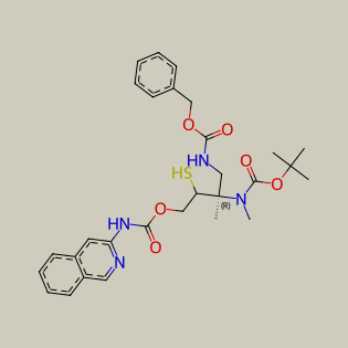 CN(C(=O)OC(C)(C)C)[C@](C)(CNC(=O)OCc1ccccc1)C(S)COC(=O)Nc1cc2ccccc2cn1